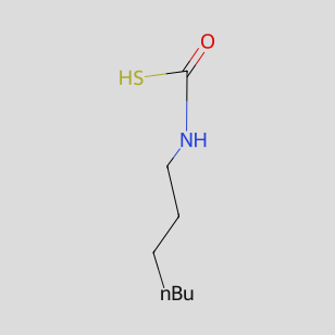 CCCCCCCNC(=O)S